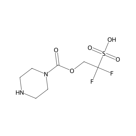 O=C(OCC(F)(F)S(=O)(=O)O)N1CCNCC1